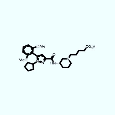 COc1cccc(OC)c1-c1cc(C(=O)N[C@H]2CCCN(CCCCC(=O)O)C2)nn1C1CCCC1